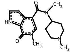 CN1CCC(N(C)C(=O)c2cn(C)c(=O)c3[nH]ccc23)CC1